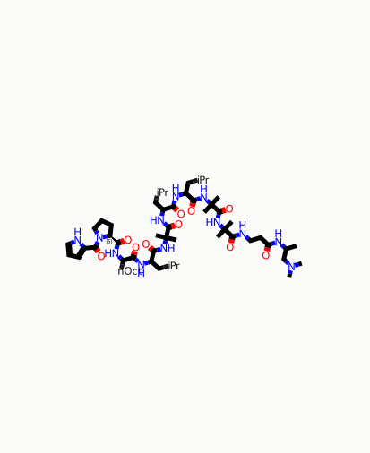 CCCCCCCCC(NC(=O)[C@@H]1CCCN1C(=O)c1ccc[nH]1)C(=O)NC(CC(C)C)C(=O)NC(C)(C)C(=O)NC(CC(C)C)C(=O)NC(CC(C)C)C(=O)NC(C)(C)C(=O)NC(C)(C)C(=O)NCCC(=O)NC(C)CN(C)C